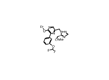 CCOc1ncc(Cn2ncnc2COC)nc1-c1cccc(OC(F)F)c1